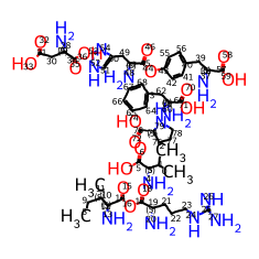 CC(C)[C@H](N)C(=O)O.CC[C@H](C)[C@H](N)C(=O)OC(=O)[C@@H](N)CCCNC(=N)N.N[C@@H](CC(=O)O)C(=O)O.N[C@@H](Cc1ccc(OC(=O)[C@@H](N)Cc2c[nH]cn2)cc1)C(=O)O.N[C@@H](Cc1ccccc1)C(=O)O.O=C(O)[C@@H]1CCCN1